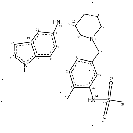 Cc1ccc(CN2CCC[C@@H](Nc3ccc4[nH]ncc4c3)C2)cc1NS(C)(=O)=O